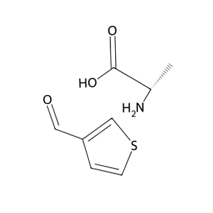 C[C@H](N)C(=O)O.O=Cc1ccsc1